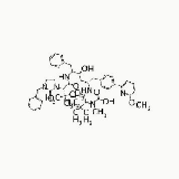 COc1cccc(-c2ccc(C[C@@H](C[C@H](O)[C@H](Cc3ccccc3)NC(=O)[C@@H](N3CCN(Cc4ccccc4)C3=O)C(C)(C)C)NC(=O)[C@@H](N(C)C(=O)O)C(C)(C)C)cc2)n1